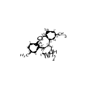 Cc1ccc2c(c1)[C@@H](CN)[C@H](CO)c1cc(C)ccc1O2